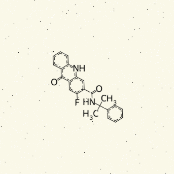 CC(C)(NC(=O)c1cc2[nH]c3ccccc3c(=O)c2cc1F)c1ccccc1